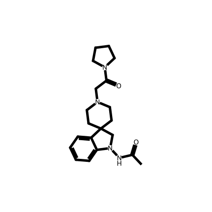 CC(=O)NN1CC2(CCN(CC(=O)N3CCCC3)CC2)c2ccccc21